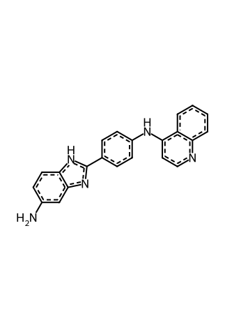 Nc1ccc2[nH]c(-c3ccc(Nc4ccnc5ccccc45)cc3)nc2c1